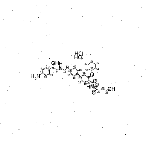 Cl.Cl.Nc1ccc([C@H](O)CNCCc2ccc(-c3ccc(C(=O)NS(=O)(=O)CCCO)c(OC4CCCCC4)c3)cc2)cc1